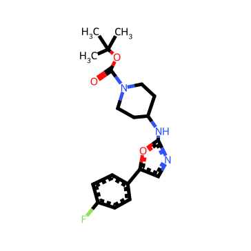 CC(C)(C)OC(=O)N1CCC(Nc2ncc(-c3ccc(F)cc3)o2)CC1